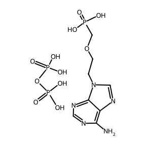 Nc1ncnc2c1ncn2CCOCP(=O)(O)O.O=P(O)(O)OP(=O)(O)O